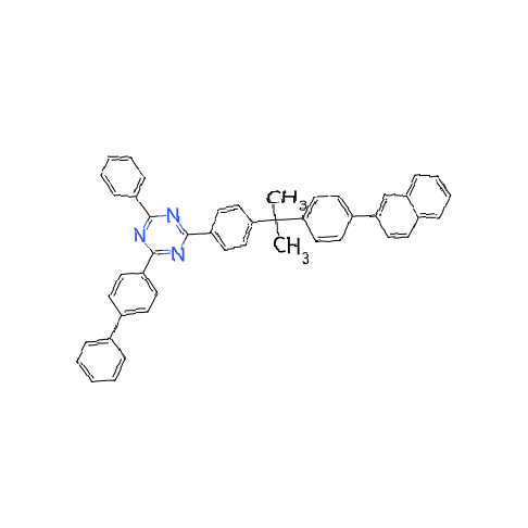 CC(C)(c1ccc(-c2ccc3ccccc3c2)cc1)c1ccc(-c2nc(-c3ccccc3)nc(-c3ccc(-c4ccccc4)cc3)n2)cc1